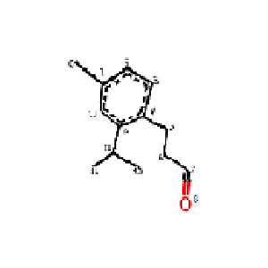 Cc1ccc(CCC=O)c(C(C)C)c1